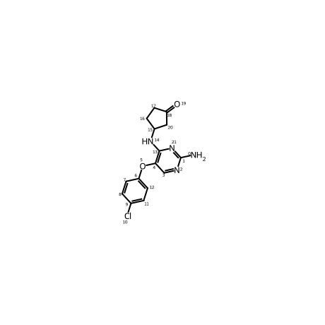 Nc1ncc(Oc2ccc(Cl)cc2)c(NC2CCC(=O)C2)n1